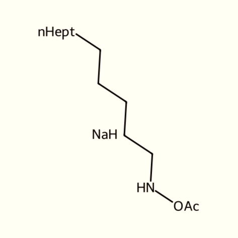 CCCCCCCCCCCCNOC(C)=O.[NaH]